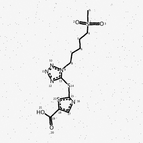 CS(=O)(=O)CCCCCn1nnnc1Sc1ncc(C(=O)O)s1